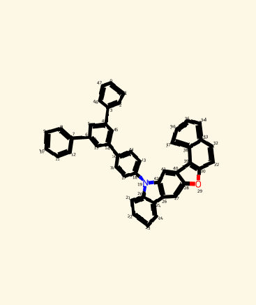 c1ccc(-c2cc(-c3ccccc3)cc(-c3ccc(-n4c5ccccc5c5cc6oc7ccc8ccccc8c7c6cc54)cc3)c2)cc1